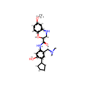 CN(C)Cc1cc(C2CCCC2)c(O)cc1NC(=O)C1CNc2cc(OC(F)(F)F)ccc2O1